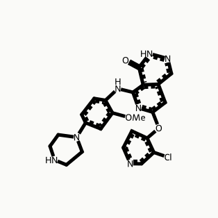 COc1cc(N2CCNCC2)ccc1Nc1nc(Oc2ccncc2Cl)cc2cn[nH]c(=O)c12